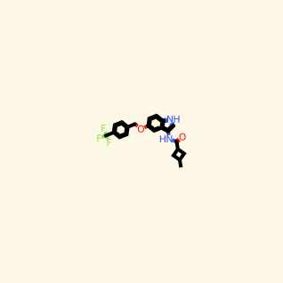 CC1CC(C(=O)Nc2c[nH]c3ccc(OCc4ccc(C(F)(F)F)cc4)cc23)C1